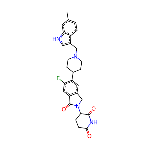 Cc1ccc2c(CN3CCC(c4cc5c(cc4F)C(=O)N(C4CCC(=O)NC4=O)C5)CC3)c[nH]c2c1